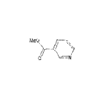 [CH]OC(=O)c1cccnc1